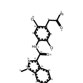 CC(C)C(=O)Cc1cc(Cl)c(NC(=O)c2nn(C)c3ccccc23)cc1Cl